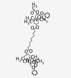 CC(=O)OC(COc1ccccc1)CN1C(C)(C)CC(OC(=O)CCCCCCCCC(=O)OC2CC(C)(C)N(CC(COc3ccccc3)OC(C)=O)C(C)(C)C2)CC1(C)C